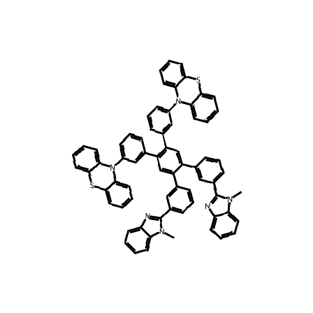 Cn1c(-c2cccc(-c3cc(-c4cccc(N5c6ccccc6Sc6ccccc65)c4)c(-c4cccc(N5c6ccccc6Sc6ccccc65)c4)cc3-c3cccc(-c4nc5ccccc5n4C)c3)c2)nc2ccccc21